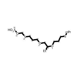 CCCSCCCOC(CC)COCCCSCOS(=O)(=O)O